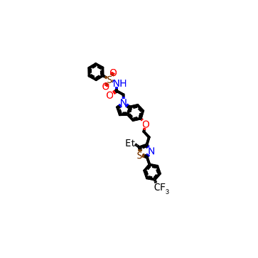 CCc1sc(-c2ccc(C(F)(F)F)cc2)nc1CCOc1ccc2c(ccn2CC(=O)NS(=O)(=O)c2ccccc2)c1